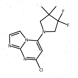 CC1(C)CN(c2cc(Cl)nc3nccn23)CC1(F)F